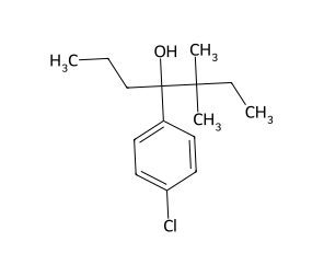 CCCC(O)(c1ccc(Cl)cc1)C(C)(C)CC